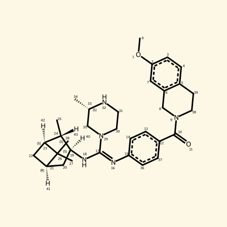 COc1ccc2c(c1)CN(C(=O)c1ccc(N=C(N[C@H]3C[C@H]4C[C@@H]([C@@H]3C)C4(C)C)N3CCN[C@@H](C)C3)cc1)CC2